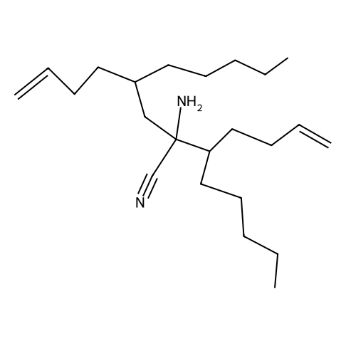 C=CCCC(CCCCC)CC(N)(C#N)C(CCC=C)CCCCC